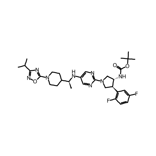 CC(C)c1noc(N2CCC([C@H](C)Nc3cnc(N4C[C@H](NC(=O)OC(C)(C)C)[C@@H](c5cc(F)ccc5F)C4)nc3)CC2)n1